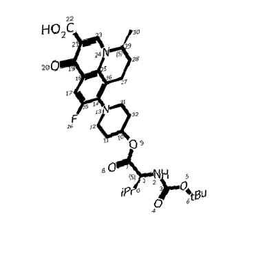 CC(C)[C@H](NC(=O)OC(C)(C)C)C(=O)OC1CCN(c2c(F)cc3c(=O)c(C(=O)O)cn4c3c2CC[C@@H]4C)CC1